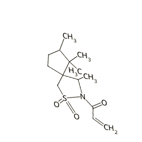 C=CC(=O)N1C(C)C2(CCC(C)C2(C)C)CS1(=O)=O